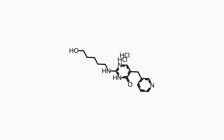 Cl.Cl.O=c1[nH]c(NCCCCCO)ncc1Cc1cccnc1